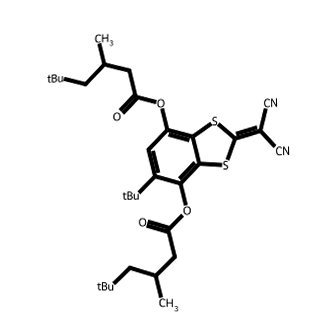 CC(CC(=O)Oc1cc(C(C)(C)C)c(OC(=O)CC(C)CC(C)(C)C)c2c1SC(=C(C#N)C#N)S2)CC(C)(C)C